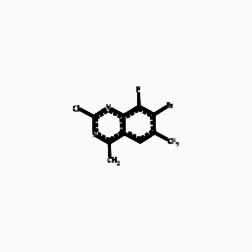 Cc1nc(Cl)nc2c(F)c(Br)c(C(F)(F)F)cc12